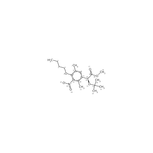 CCCCOc1c(C)cc([C@H](OC(C)(C)C)C(=O)OC)c(C)c1[N+](=O)[O-]